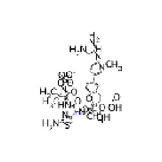 C[n+]1cc(-c2ccc3c(c2)CC[C@H]([C@](C)(O/N=C(\C(=O)N[C@@H]2C(=O)N(OS(=O)(=O)[O-])C2(C)C)c2csc(N)n2)C(=O)O)O3)ccc1NC(CN)CN.O=CO